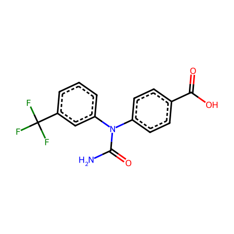 NC(=O)N(c1ccc(C(=O)O)cc1)c1cccc(C(F)(F)F)c1